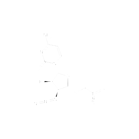 [N-]=[N+]=N[C@@H]1[C@@H](OCP(=O)=O)O[C@@H](n2ccc(N)nc2=O)[C@@H]1O